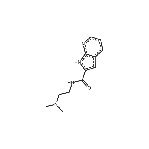 CN(C)CCNC(=O)c1cc2cccnc2[nH]1